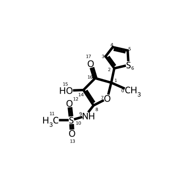 CC1(c2cccs2)OC(NS(C)(=O)=O)=C(O)C1=O